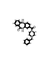 O=C1Nc2cc(C(=O)N3CCN(Cc4ccccc4)CC3)ccc2Nc2ccccc21